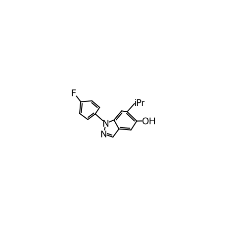 CC(C)c1cc2c(cnn2-c2ccc(F)cc2)cc1O